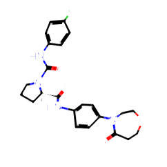 O=C(Nc1ccc(N2CCOCCC2=O)cc1)[C@H]1CCCN1C(=O)Nc1ccc(Cl)cc1